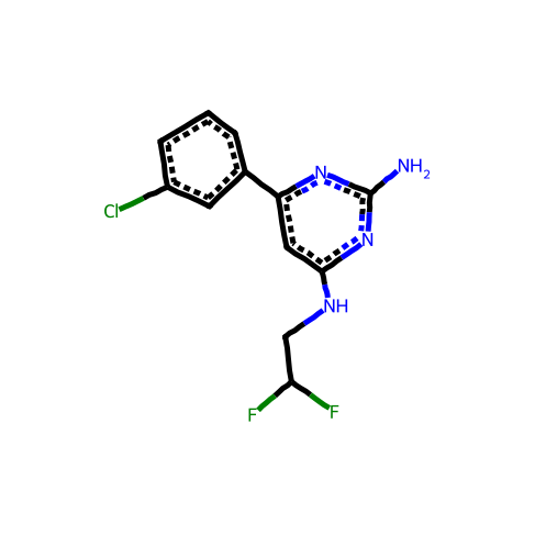 Nc1nc(NCC(F)F)cc(-c2cccc(Cl)c2)n1